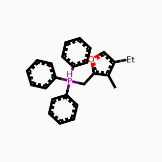 CCc1coc(C[PH](c2ccccc2)(c2ccccc2)c2ccccc2)c1C